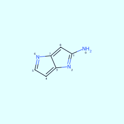 NC1=NC2=CC=NC2=C1